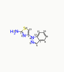 Nc1nc(-n2ncc3ccccc32)cs1